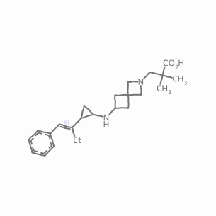 CC/C(=C\c1ccccc1)C1CC1NC1CC2(C1)CN(CC(C)(C)C(=O)O)C2